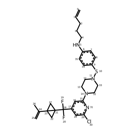 C=CCCCNc1ccc(SN2CCN(c3cc(C(F)(F)C45CC4(C(=C)C)C5)cc(Cl)n3)CC2)cc1